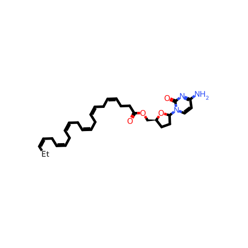 CC/C=C\C/C=C\C/C=C\C/C=C\C/C=C\C/C=C\CCC(=O)OC[C@@H]1CCC(n2ccc(N)nc2=O)O1